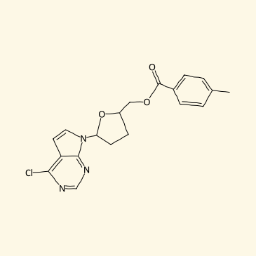 Cc1ccc(C(=O)OCC2CCC(n3ccc4c(Cl)ncnc43)O2)cc1